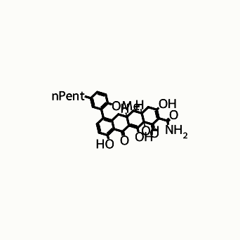 CCCCCc1ccc(OC)c(-c2ccc(O)c3c2C[C@H]2C[C@H]4CC(O)=C(C(N)=O)C(=O)[C@@]4(O)C(O)=C2C3=O)c1